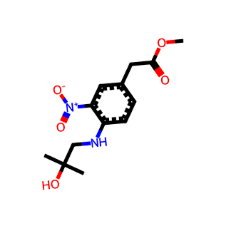 COC(=O)Cc1ccc(NCC(C)(C)O)c([N+](=O)[O-])c1